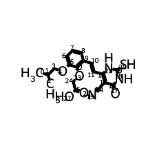 CC(C)COc1cccc(/C=C/C2=C(C#N)C(=O)NC(S)N2)c1OCC(=O)O